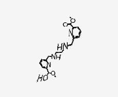 COC(=O)c1cccc(CNCCNCc2cccc(C(O)OC)n2)n1